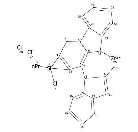 CCC[Si]1(Cl)c2cc3c(c(C4C(C)=Cc5ccccc54)c21)[CH]([Zr+2])c1ccccc1-3.[Cl-].[Cl-]